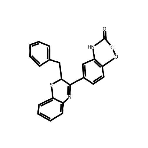 O=C1COc2ccc(C3=Nc4ccccc4SC3Cc3ccccc3)cc2N1